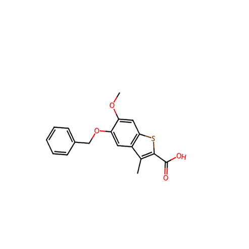 COc1cc2sc(C(=O)O)c(C)c2cc1OCc1ccccc1